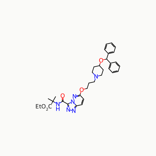 CCOC(=O)C(C)(C)NC(=O)c1nnc2ccc(OCCCN3CCC(OC(c4ccccc4)c4ccccc4)CC3)nn12